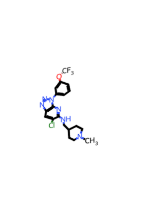 CN1CCC(CNc2nc3c(cc2Cl)nnn3-c2cccc(OC(F)(F)F)c2)CC1